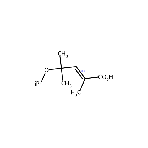 C/C(=C\C(C)(C)OC(C)C)C(=O)O